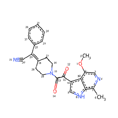 COc1cnc(C)c2[nH]cc(C(=O)C(=O)N3CCC(=C(C#N)c4ccccc4)CC3)c12